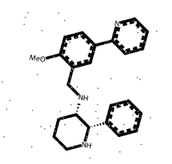 COc1ccc(-c2ccccn2)cc1CN[C@H]1CCCN[C@H]1c1ccccc1